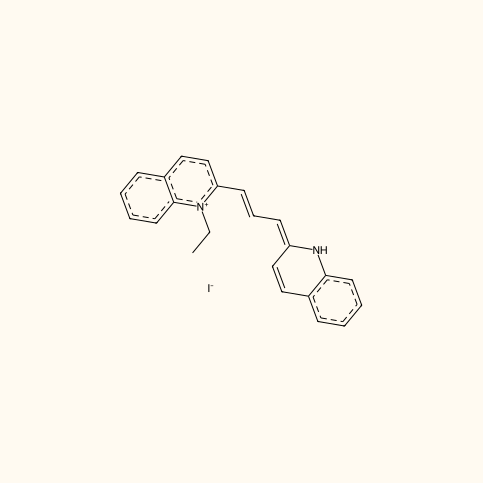 CC[n+]1c(C=CC=C2C=Cc3ccccc3N2)ccc2ccccc21.[I-]